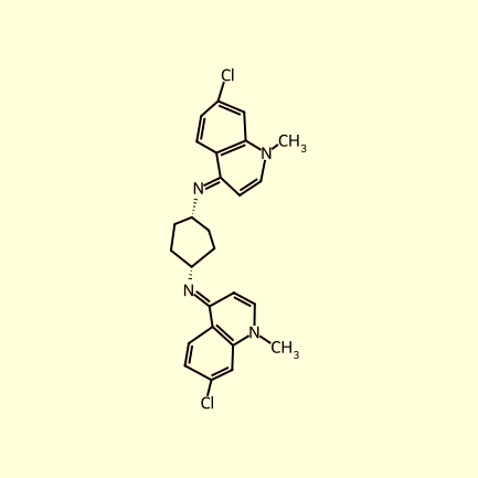 Cn1ccc(=N[C@H]2CC[C@@H](N=c3ccn(C)c4cc(Cl)ccc34)CC2)c2ccc(Cl)cc21